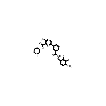 Cc1ccc(CNC(=O)c2cccc(-c3cnc(N)c(C(=O)N[C@H]4CCCNC4)n3)c2)c(F)c1F